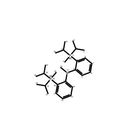 CC(C)[PH](C)(c1ccccc1N(C)c1ccccc1[PH](C)(C(C)C)C(C)C)C(C)C